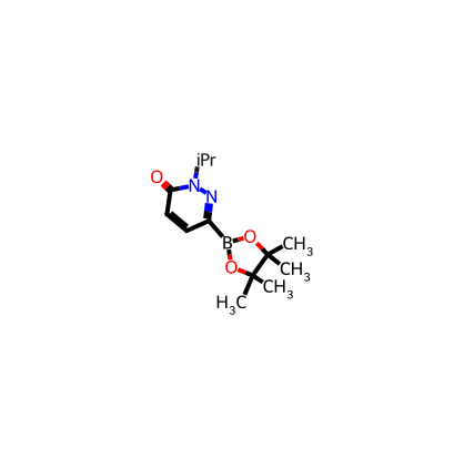 CC(C)n1nc(B2OC(C)(C)C(C)(C)O2)ccc1=O